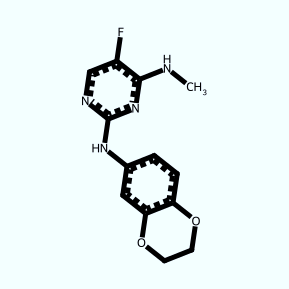 CNc1nc(Nc2ccc3c(c2)OCCO3)ncc1F